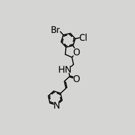 O=C(/C=C/c1cccnc1)NCC1Cc2cc(Br)cc(Cl)c2O1